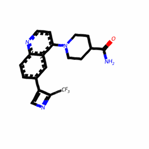 NC(=O)C1CCN(c2ccnc3ccc(C4=CN=C4C(F)(F)F)cc23)CC1